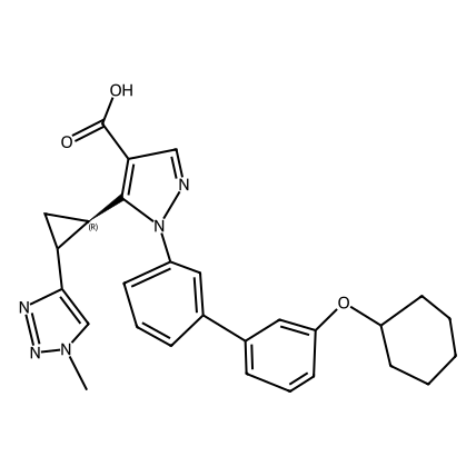 Cn1cc(C2C[C@H]2c2c(C(=O)O)cnn2-c2cccc(-c3cccc(OC4CCCCC4)c3)c2)nn1